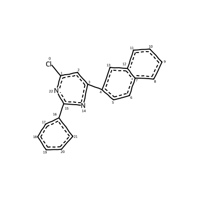 Clc1cc(-c2ccc3ccccc3c2)nc(-c2ccccc2)n1